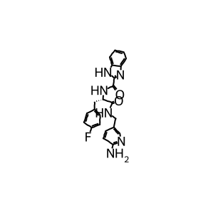 Nc1ccc(CNC(=O)[C@H](Cc2ccc(F)cc2)NC(=O)c2nc3ccccc3[nH]2)cn1